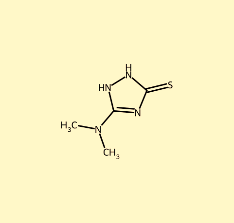 CN(C)c1nc(=S)[nH][nH]1